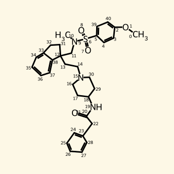 COc1ccc(S(=O)(=O)N(C)CC2(CCN3CCC(NC(=O)Cc4ccccc4)CC3)CCc3ccccc32)cc1